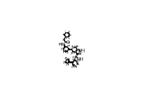 O=C(Cc1ccccc1)Nc1cncc(-c2cc3c(-c4nc5c(-c6ccsc6)cncc5[nH]4)n[nH]c3cn2)c1